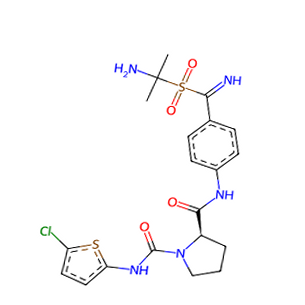 CC(C)(N)S(=O)(=O)C(=N)c1ccc(NC(=O)[C@H]2CCCN2C(=O)Nc2ccc(Cl)s2)cc1